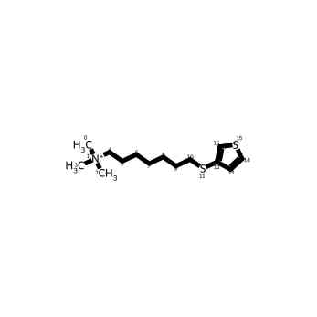 C[N+](C)(C)CCCCCCCSc1ccsc1